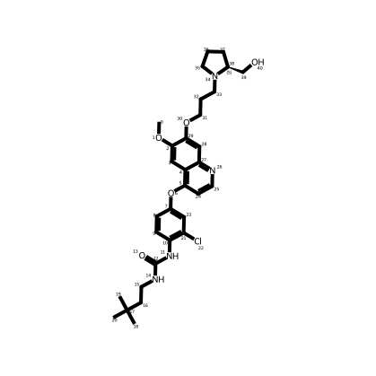 COc1cc2c(Oc3ccc(NC(=O)NCCC(C)(C)C)c(Cl)c3)ccnc2cc1OCCCN1CCC[C@H]1CO